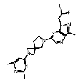 Cc1cc(N2CC3(CCN(c4cnc5c(C)nn(CC(F)F)c5n4)C3)C2)nc(C)n1